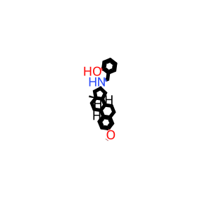 COc1ccc2c(c1)CC[C@@H]1[C@@H]2CC[C@]2(C)C[C@@H](NCc3ccccc3O)C[C@@H]12